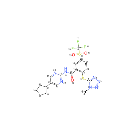 Cn1nnnc1Sc1ccc(S(=O)(=O)C(F)(F)F)cc1C(=O)Nc1ncc(C2CCCC2)cn1